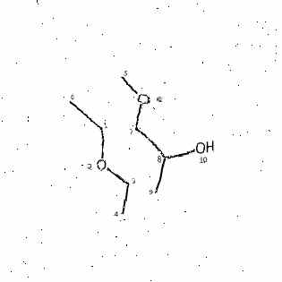 CCOCC.COCC(C)O